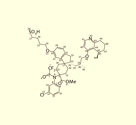 COC(=O)C1(N(C(=O)C(F)(F)F)c2cccc(Cl)c2)CCC2(CC1)c1cc(OCCCCS(=O)(=O)O)ccc1C[C@@H]2C[C@@H](C)COc1ccnc2c1[C@H](C)CCC2